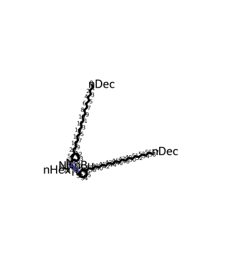 CCCCCCCCCCCCCCCCCCCCCCCCCCCCCCc1cccc(/N=C(CCCCCC)\C(CCCC)=N\c2cccc(CCCCCCCCCCCCCCCCCCCCCCCCCCCCCC)c2)c1.[Ni]